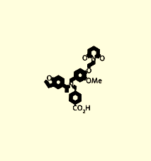 COc1cc(CN(C[C@H]2CC[C@H](C(=O)O)CC2)C(C)c2ccc3c(c2)CCO3)ccc1OCCN1C(=O)CCCC1=O